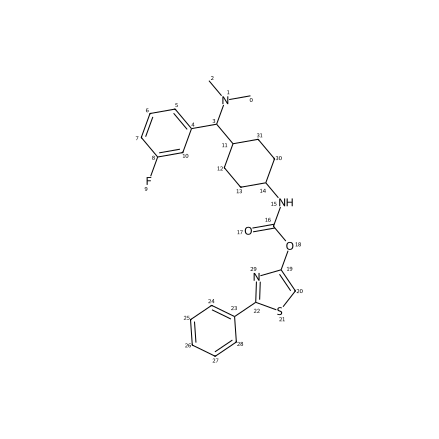 CN(C)C(c1cccc(F)c1)C1CCC(NC(=O)Oc2csc(-c3ccccc3)n2)CC1